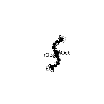 CCCCCCCCOc1c2cc3cc(-c4ccc(-c5ccc(-c6ccc(/C=C7\SC(=S)N(CC)C7=O)s6)s5)s4)sc3c(OCCCCCCCC)c2cc2cc(-c3ccc(-c4ccc(-c5ccc(/C=C6\SC(=S)N(CC)C6=O)s5)s4)s3)sc12